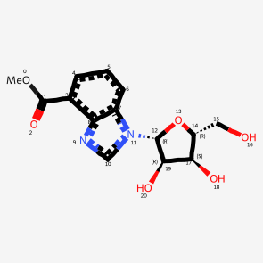 COC(=O)c1cccc2c1ncn2[C@@H]1O[C@H](CO)[C@@H](O)[C@H]1O